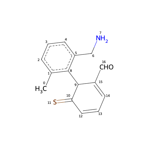 Cc1cccc(CN)c1C1C(=S)C=CC=C1C=O